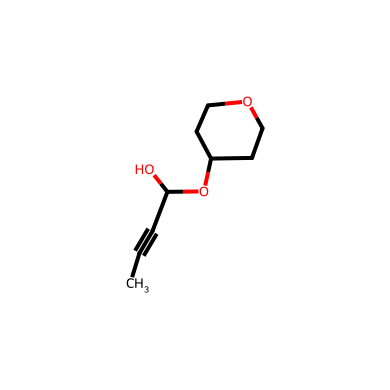 CC#CC(O)OC1CCOCC1